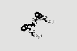 CC(C)(CCC1CC2CCCC(C2)C1COC(=O)CS(=O)(=O)O)OC(=O)NC12CCCC(C1)CC(C)(OC(=O)CS(=O)(=O)O)C2